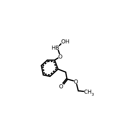 CCOC(=O)Cc1ccccc1OBO